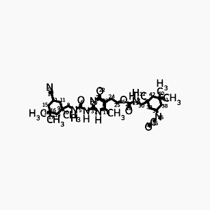 Cc1[nH]c(NC(=O)NCC2(C)CC(C#N)CC(C)(C)C2)nc(=O)c1CCOC(=O)NCC1(C)CC(N=C=O)CC(C)(C)C1